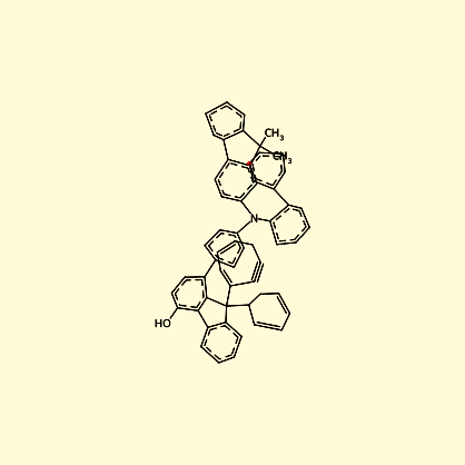 CC1(C)c2ccccc2-c2ccc(N(c3ccc(-c4ccc(O)c5c4C(C4=CC=CCC#C4)(C4C=CC=CC4)c4ccccc4-5)cc3)c3ccccc3-c3ccccc3)cc21